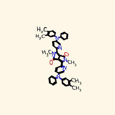 Cc1ccc(N(c2ccccc2)c2ccc(C3=C4C(=O)N(C)C(c5ccc(N(c6ccccc6)c6ccc(C)c(C)c6)cn5)=C4C(=O)N3C)nc2)cc1C